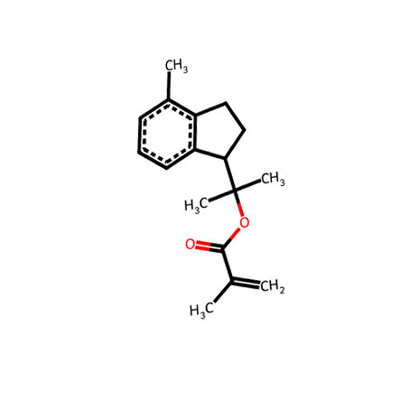 C=C(C)C(=O)OC(C)(C)C1CCc2c(C)cccc21